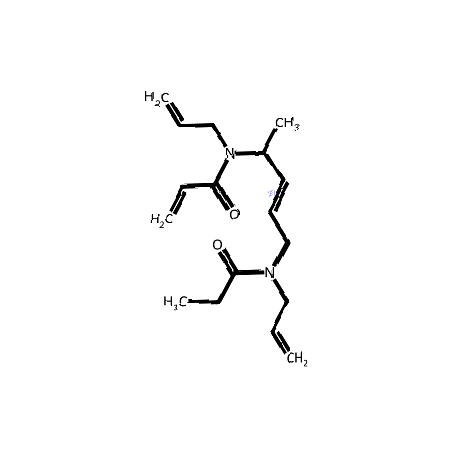 C=CCN(C/C=C/C(C)N(CC=C)C(=O)C=C)C(=O)CC